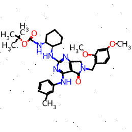 COc1ccc(CN2Cc3nc(N[C@@H]4CCCC[C@@H]4NC(=O)OC(C)(C)C)nc(Nc4cccc(C)c4)c3C2=O)c(OC)c1